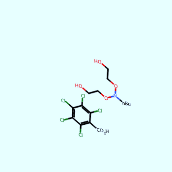 CCCCN(OCCO)OCCO.O=C(O)c1c(Cl)c(Cl)c(Cl)c(Cl)c1Cl